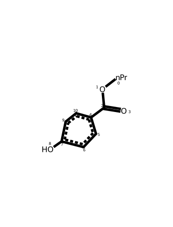 [CH2]CCOC(=O)c1ccc(O)cc1